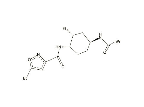 CCCC(=O)N[C@H]1CC[C@H](NC(=O)c2cc(CC)on2)[C@H](CC)C1